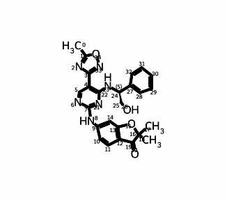 Cc1nc(-c2cnc(Nc3ccc4c(c3)OC(C)(C)C4=O)nc2N[C@H](CO)c2ccccc2)no1